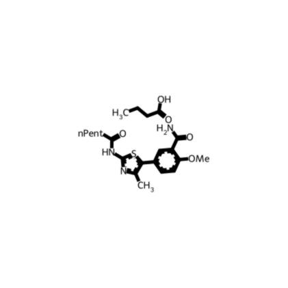 CCCC(=O)O.CCCCCC(=O)Nc1nc(C)c(-c2ccc(OC)c(C(N)=O)c2)s1